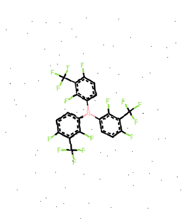 Fc1ccc(B(c2ccc(F)c(C(F)(F)F)c2F)c2ccc(F)c(C(F)(F)F)c2F)c(F)c1C(F)(F)F